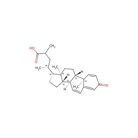 CC(C[C@@H](C)[C@H]1CC[C@H]2[C@@H]3C=CC4=CC(=O)C=C[C@]4(C)[C@H]3CC[C@]12C)C(=O)O